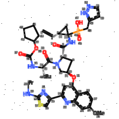 C=C[C@@H]1C[C@]1(NC(=O)[C@@H]1C[C@@H](Oc2cc(-c3csc(NC(C)C)n3)nc3cc(OC)ccc23)CN1C(=O)[C@@H](NC(=O)OC1CCCC1)C(C)(C)C)P(=O)(O)Cc1ccn[nH]1